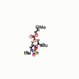 COCCOC(=O)OC[C@H](CN(C(C)(C)C)S(C)(=O)=O)O[C@@H](C)C(C)(C)C